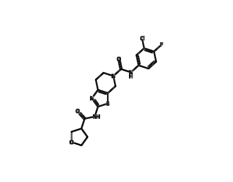 O=C(Nc1nc2c(s1)CN(C(=O)Nc1ccc(F)c(Cl)c1)CC2)C1CCOC1